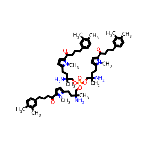 Cc1ccc(CCCC(=O)c2ccc(CCC(C)(N)COP(=O)(OCC(C)(N)CCc3ccc(C(=O)CCCc4ccc(C)c(C)c4)n3C)OCC(C)(N)CCc3ccc(C(=O)CCCc4ccc(C)c(C)c4)n3C)n2C)cc1C